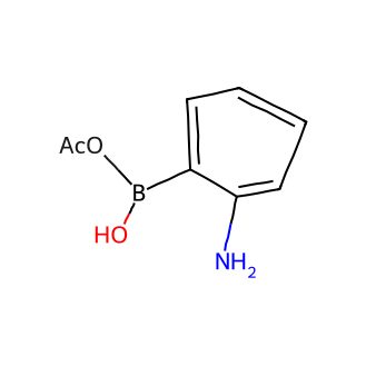 CC(=O)OB(O)c1ccccc1N